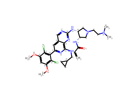 C=CC(=O)N[C@H]1CN(CCN(C)C)C[C@H]1Nc1ncc2cc(-c3c(Cl)c(OC)cc(OC)c3Cl)nc(NCC3CC3)c2n1